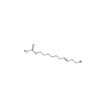 CC(=O)OCCCCCC/C=C/CCBr